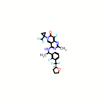 Cc1nc(NC(C)c2cccc(C(F)(F)[C@@H]3CCCO3)c2F)c2cn(C3(C(F)F)CC3)c(=O)c(F)c2n1